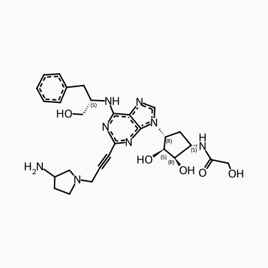 NC1CCN(CC#Cc2nc(N[C@H](CO)Cc3ccccc3)c3ncn([C@@H]4C[C@H](NC(=O)CO)[C@@H](O)[C@H]4O)c3n2)C1